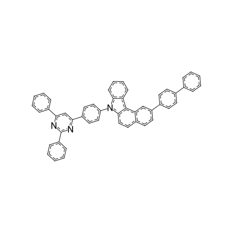 c1ccc(-c2ccc(-c3ccc4ccc5c(c4c3)c3ccccc3n5-c3ccc(-c4cc(-c5ccccc5)nc(-c5ccccc5)n4)cc3)cc2)cc1